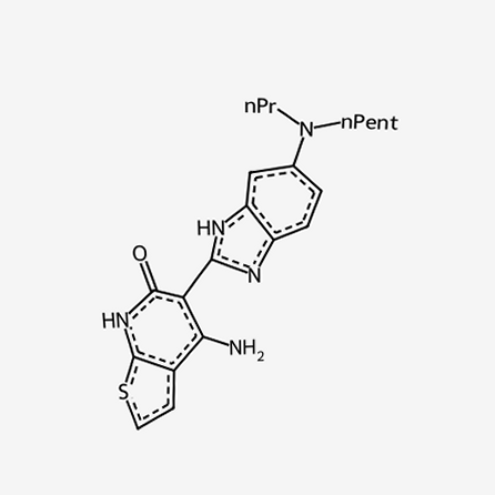 CCCCCN(CCC)c1ccc2nc(-c3c(N)c4ccsc4[nH]c3=O)[nH]c2c1